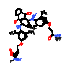 Cc1cc(OCCC(=O)NC(C)C)cc(C)c1Nc1ccc(Nc2c(C)cc(OCCC(=O)NC(C)C)cc2C)c2c1C(=O)c1ccccc1C2=O